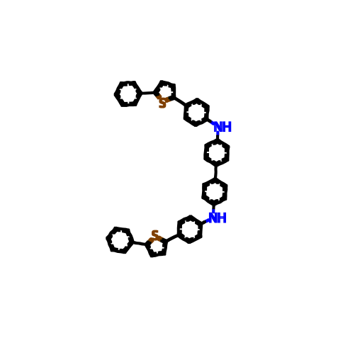 c1ccc(-c2ccc(-c3ccc(Nc4ccc(-c5ccc(Nc6ccc(-c7ccc(-c8ccccc8)s7)cc6)cc5)cc4)cc3)s2)cc1